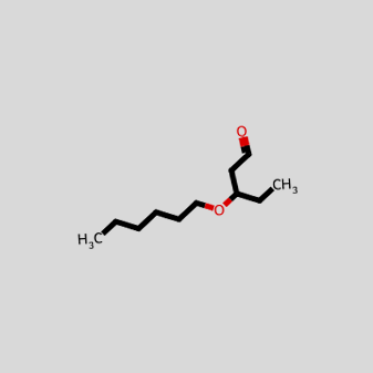 CCCCCCOC(CC)CC=O